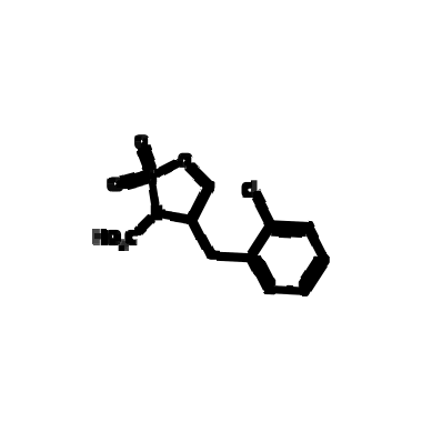 O=C(O)N1C(Cc2ccccc2Cl)COS1(=O)=O